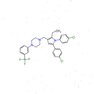 CCc1c(CN2CCN(c3cccc(C(F)(F)F)c3)CC2)cc(-c2ccc(Cl)cc2)n1-c1ccc(Cl)cc1